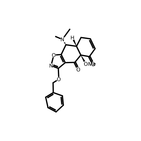 CO[C@]12C(=O)C=CC[C@H]1[C@@H](N(C)C)c1onc(OCc3ccccc3)c1C2=O